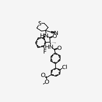 COC(=O)c1ccc(Cl)c(-c2ccc(C(=O)N[C@](C)(C(=O)NC3(C#N)CCSCC3)c3c(F)cccc3F)cc2)c1